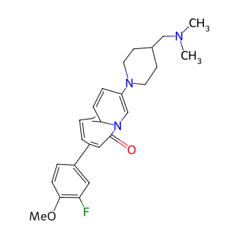 COc1ccc(C2=C\C(=O)N3C=C(N4CCC(CN(C)C)CC4)C=C\C3=C/C=C/2)cc1F